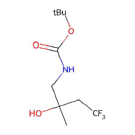 CC(O)(CNC(=O)OC(C)(C)C)CC(F)(F)F